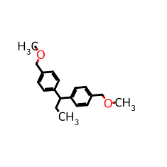 CCC(c1ccc(COC)cc1)c1ccc(COC)cc1